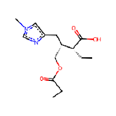 CCC(=O)OC[C@H](Cc1cn(C)cn1)[C@@H](CC)C(=O)O